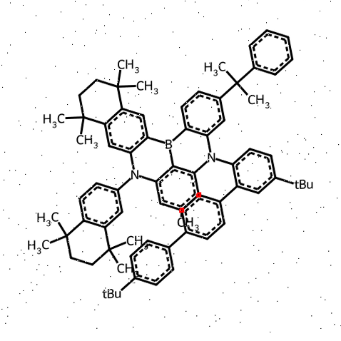 Cc1cc2c3c(c1)N(c1ccc(C(C)(C)C)cc1-c1ccc(-c4ccc(C(C)(C)C)cc4)cc1)c1cc(C(C)(C)c4ccccc4)ccc1B3c1cc3c(cc1N2c1ccc2c(c1)C(C)(C)CCC2(C)C)C(C)(C)CCC3(C)C